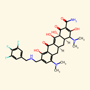 CN(C)c1cc(CNCc2cc(F)c(F)c(F)c2)c(O)c2c1C[C@@H]1C[C@@H]3C(N(C)C)C(O)=C(C(N)=O)C(=O)[C@]3(O)C(O)=C1C2=O